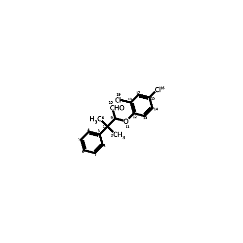 CC(C)(c1ccccc1)C(C=O)Oc1ccc(Cl)cc1Cl